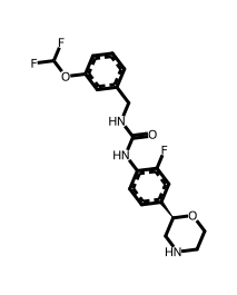 O=C(NCc1cccc(OC(F)F)c1)Nc1ccc([C@@H]2CNCCO2)cc1F